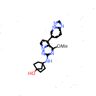 COc1nc(NC23CCC(O)(CC2)C3)nn2ccc(-c3ccc4ncnn4c3)c12